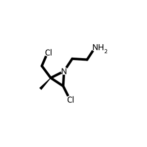 C[C@]1(CCl)C(Cl)N1CCN